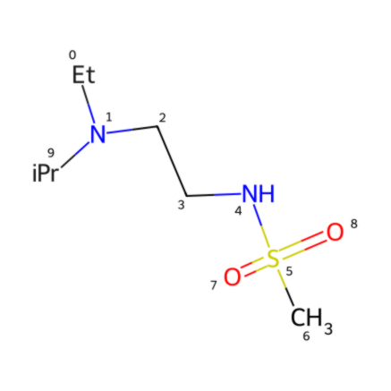 CCN(CCNS(C)(=O)=O)C(C)C